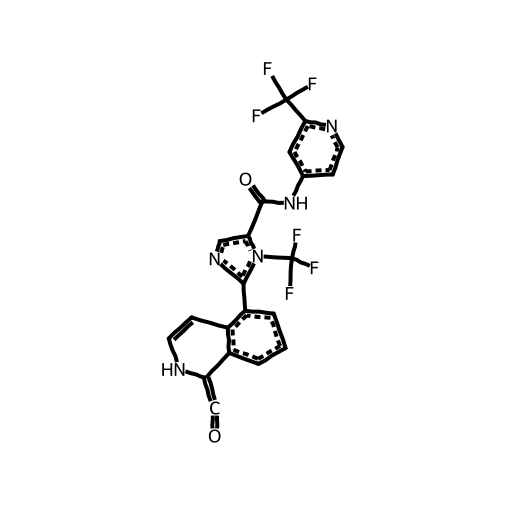 O=C=C1NC=Cc2c1cccc2-c1ncc(C(=O)Nc2ccnc(C(F)(F)F)c2)n1C(F)(F)F